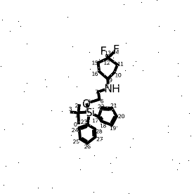 CC(C)(C)[Si](OCCNC1CCC(F)(F)CC1)(c1ccccc1)c1ccccc1